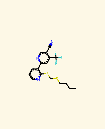 CCCCSCSc1ncccc1-c1cc(C(F)(F)F)c(C#N)cn1